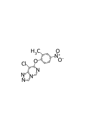 Cc1cc([N+](=O)[O-])ccc1Oc1ncn2cnnc2c1Cl